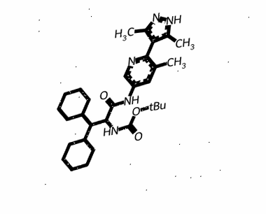 Cc1cc(NC(=O)C(NC(=O)OC(C)(C)C)C(C2CCCCC2)C2CCCCC2)cnc1-c1c(C)n[nH]c1C